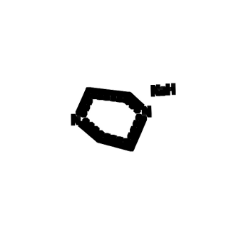 [NaH].c1cnccn1